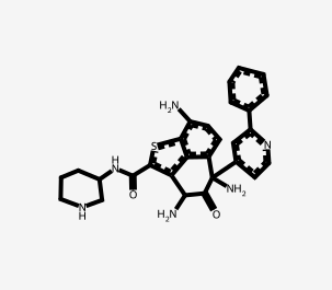 Nc1ccc2c3c(c(C(=O)NC4CCCNC4)sc13)C(N)C(=O)C2(N)c1ccnc(-c2ccccc2)c1